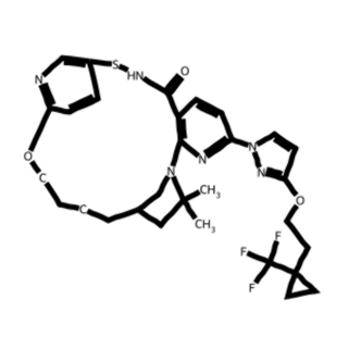 CC1(C)CC2CCCCOc3ccc(cn3)SNC(=O)c3ccc(-n4ccc(OCCC5(C(F)(F)F)CC5)n4)nc3N1C2